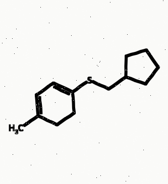 CC1=CC=C(SCC2CCCC2)CC1